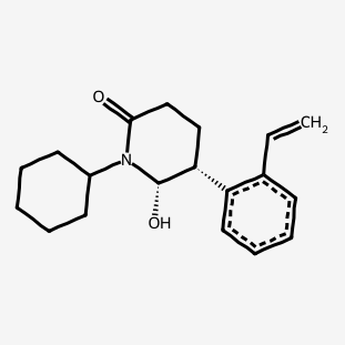 C=Cc1ccccc1[C@H]1CCC(=O)N(C2CCCCC2)[C@H]1O